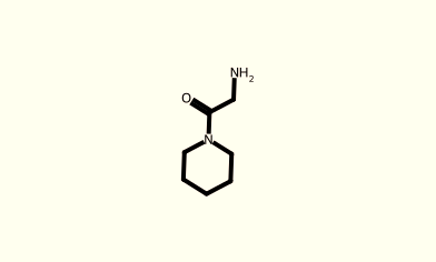 NCC(=O)N1CCCCC1